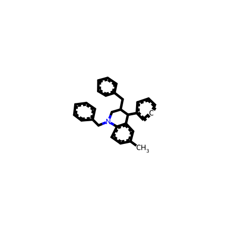 Cc1ccc2c(c1)C(c1ccccc1)C(Cc1ccccc1)CN2Cc1ccccc1